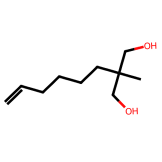 C=CCCCCC(C)(CO)CO